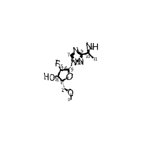 COC[C@H]1O[C@@H](n2cnc(C(C)=N)n2)[C@H](F)[C@@H]1O